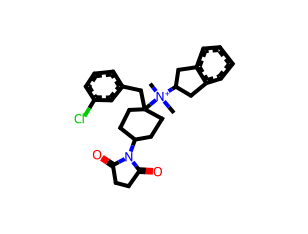 C[N+](C)(C1Cc2ccccc2C1)C1(Cc2cccc(Cl)c2)CCC(N2C(=O)CCC2=O)CC1